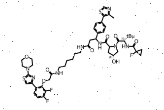 Cc1ncsc1-c1ccc(C(CC(=O)NCCCCCCNC(=O)COc2c(-c3csc(N4CCOCC4)n3)ccc(F)c2F)NC(=O)C2C[C@@H](O)CN2C(=O)[C@@H](NC(=O)C2(F)CC2)C(C)(C)C)cc1